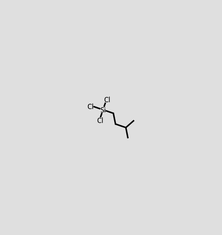 CC(C)CC[Si](Cl)(Cl)Cl